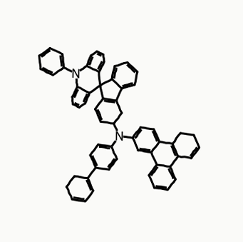 C1=CCCC(c2ccc(N(c3ccc4c5c(c6ccccc6c4c3)C=CCC5)C3C=CC4=C(C3)c3ccccc3C43c4ccccc4N(c4ccccc4)c4ccccc43)cc2)=C1